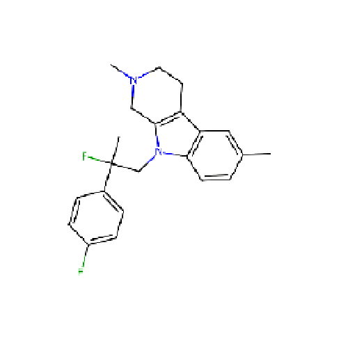 Cc1ccc2c(c1)c1c(n2CC(C)(F)c2ccc(F)cc2)CN(C)CC1